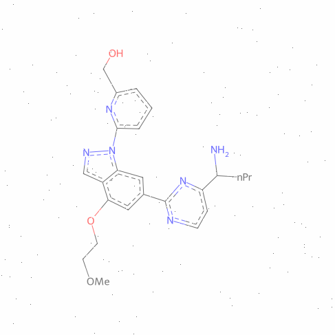 CCCC(N)c1ccnc(-c2cc(OCCOC)c3cnn(-c4cccc(CO)n4)c3c2)n1